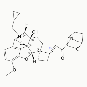 COc1ccc2c3c1O[C@H]1[C@@]4(CC/C4=C\C(=O)N4CC5CCC4CO5)CC[C@@]4(O)[C@@H](C2)N(CC2CC2)CC[C@]314